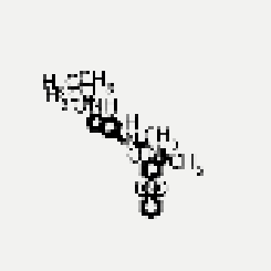 Cc1cn(C(C)C(=O)NCc2ccc3c(c2)CCC3NC(=O)OC(C)(C)C)c2ccc(S(=O)(=O)N3CCCCC3)cc12